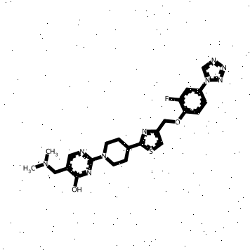 CN(C)Cc1cnc(N2CCC(c3nc(COc4ccc(-n5cnnn5)cc4F)cs3)CC2)nc1O